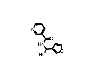 N#CC(NC(=O)c1cccnc1)c1ccoc1